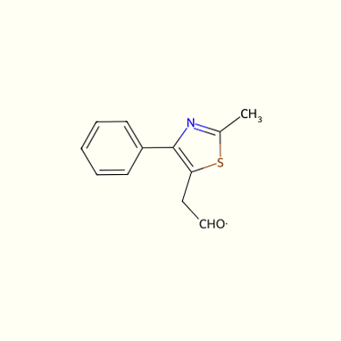 Cc1nc(-c2ccccc2)c(C[C]=O)s1